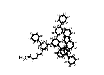 C=C/C=C\C=C\c1nc(-c2ccccc2)nc(-c2cc(-c3ccc(-c4ccccc4)cc3)c(-n3c4ccccc4c4ccc5oc6ccccc6c5c43)c(-c3ccc(-c4ccccc4)cc3)c2)n1